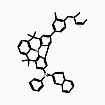 C/C=C\C(C)Cc1ccc(-c2cc3c4c(c2)c2cc(N(C5=CC6C=CC=CC6C=C5)c5ccccc5)cc5c2n4-c2c(cccc2C5(C)C)C3(C)C)cc1C